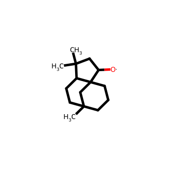 CC12CCCC3(C1)C([O])CC(C)(C)C3CC2